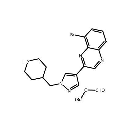 Brc1cccc2ncc(-c3cnn(CC4CCNCC4)c3)nc12.CC(C)(C)OC=O